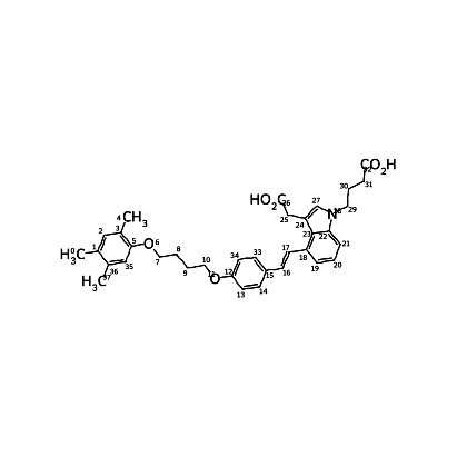 Cc1cc(C)c(OCCCCOc2ccc(C=Cc3cccc4c3c(CC(=O)O)cn4CCCC(=O)O)cc2)cc1C